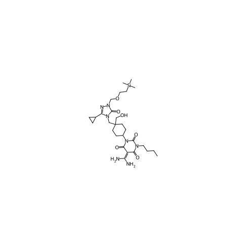 CCCCN1C(=O)C(=C(N)N)C(=O)N(C2CCC(CO)(Cn3c(C4CC4)nn(COCC[Si](C)(C)C)c3=O)CC2)C1=O